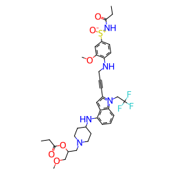 CCC(=O)N[S+]([O-])c1ccc(NCC#Cc2cc3c(NC4CCN(CC(COC)OC(=O)CC)CC4)cccc3n2CC(F)(F)F)c(OC)c1